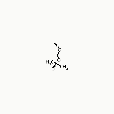 CC(C)OCOP(C)(C)=O